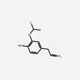 C=CCc1ccc(C#N)c(OC(F)F)c1